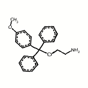 COc1ccc(C(OCCN)(c2ccccc2)c2ccccc2)cc1